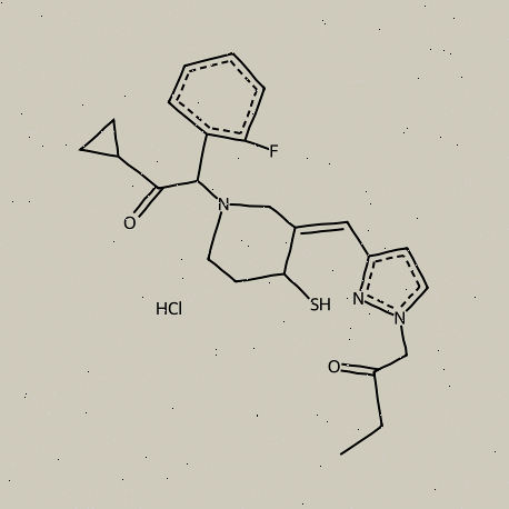 CCC(=O)Cn1ccc(/C=C2/CN(C(C(=O)C3CC3)c3ccccc3F)CCC2S)n1.Cl